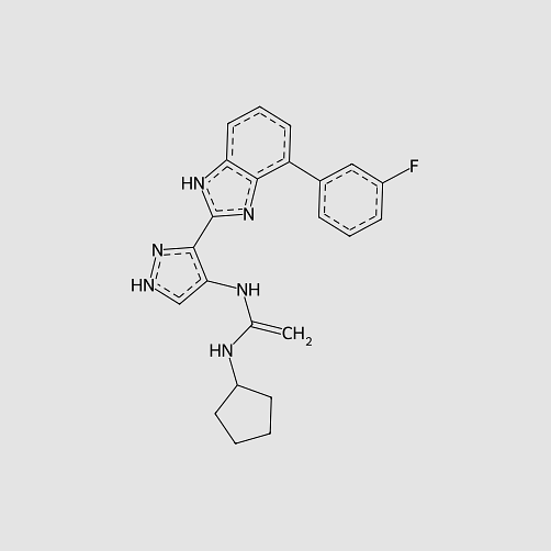 C=C(Nc1c[nH]nc1-c1nc2c(-c3cccc(F)c3)cccc2[nH]1)NC1CCCC1